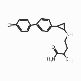 CC(CCNC1CC1c1ccc(-c2ccc(Cl)cc2)cc1)C(N)=O